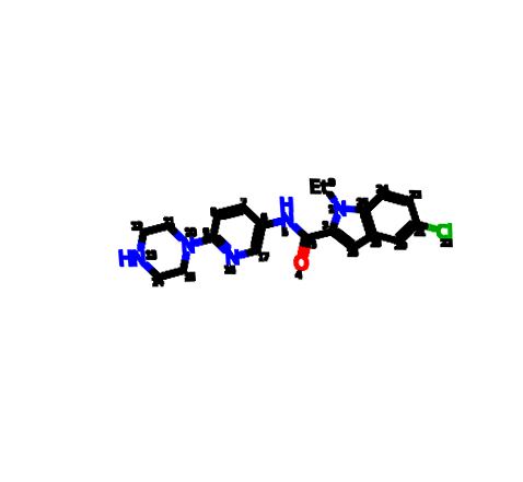 CCn1c(C(=O)Nc2ccc(N3CCNCC3)nc2)cc2cc(Cl)ccc21